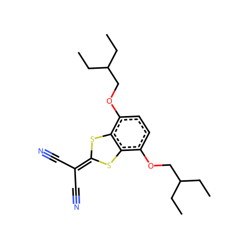 CCC(CC)COc1ccc(OCC(CC)CC)c2c1SC(=C(C#N)C#N)S2